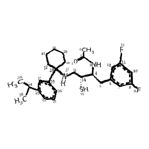 CC(=O)N[C@@H](Cc1cc(F)cc(F)c1)[C@H](S)CNC1(c2cccc(C(C)C)c2)CCCCC1